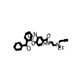 C#CCN(CC)CCNC(=O)c1ccc(Oc2ccccc2C(=O)c2ccccc2)c([N+](=O)[O-])c1